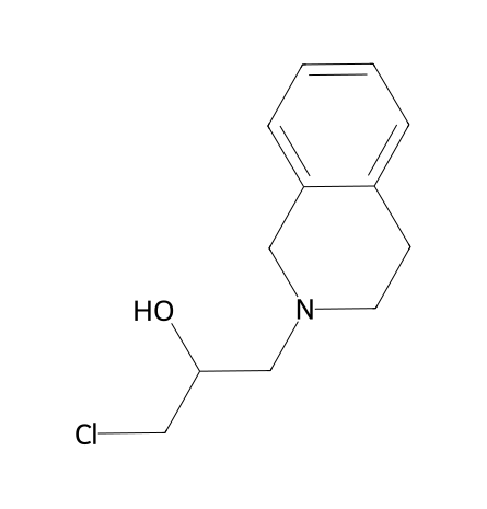 OC(CCl)CN1CCc2ccccc2C1